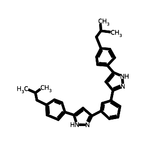 CC(C)Cc1ccc(-c2cc(-c3cccc(-c4cc(-c5ccc(CC(C)C)cc5)[nH]n4)c3)n[nH]2)cc1